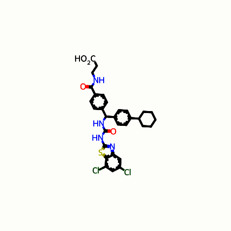 O=C(O)CCNC(=O)c1ccc(C(NC(=O)Nc2nc3cc(Cl)cc(Cl)c3s2)c2ccc(C3CCCCC3)cc2)cc1